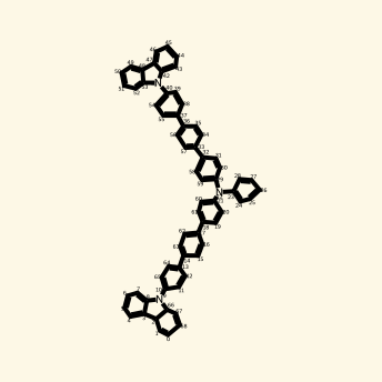 C1=CC2c3ccccc3N(c3ccc(-c4ccc(-c5ccc(N(c6ccccc6)c6ccc(-c7ccc(-c8ccc(-n9c%10ccccc%10c%10ccccc%109)cc8)cc7)cc6)cc5)cc4)cc3)C2C=C1